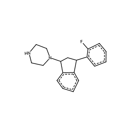 Fc1ccccc1C1CC(N2CCNCC2)c2ccccc21